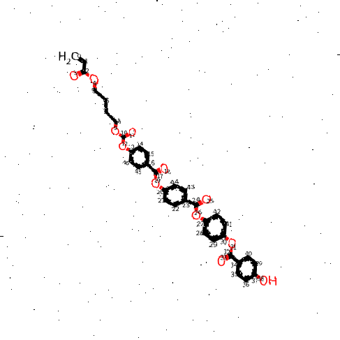 C=CC(=O)OCCCCOC(=O)Oc1ccc(C(=O)Oc2ccc(C(=O)Oc3ccc(OC(=O)c4ccc(O)cc4)cc3)cc2)cc1